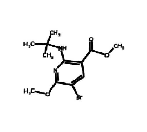 COC(=O)c1cc(Br)c(OC)nc1NC(C)(C)C